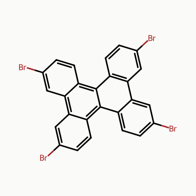 Brc1ccc2c(c1)c1cc(Br)ccc1c1c3ccc(Br)cc3c3cc(Br)ccc3c21